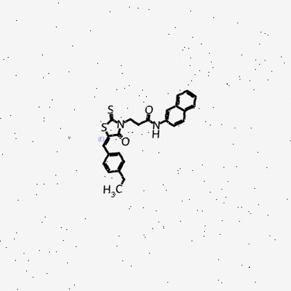 CCc1ccc(/C=C2/SC(=S)N(CCC(=O)Nc3ccc4ccccc4c3)C2=O)cc1